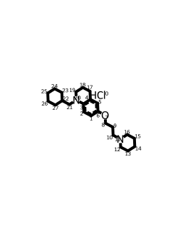 Cl.c1cc2c(cc1OCCCN1CCCCC1)CCCN2CC1CCCCC1